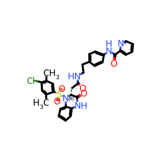 Cc1cc(S(=O)(=O)N2c3ccccc3NC(=O)[C@H]2CC(=O)NCCc2ccc(NC(=O)c3ccccn3)cc2)c(C)cc1Cl